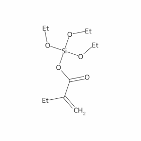 C=C(CC)C(=O)O[Si](OCC)(OCC)OCC